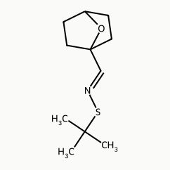 CC(C)(C)S/N=C/C12CCC(CC1)O2